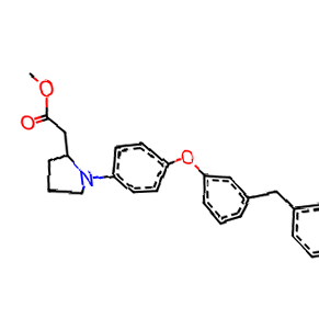 COC(=O)CC1CCCN1c1ccc(Oc2cccc(Cc3ccccc3F)c2)cc1